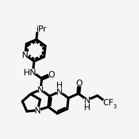 CC(C)c1ccc(NC(=O)N2C3=C(C=CC(C(=O)NCC(F)(F)F)N3)N3CCC2C3)nc1